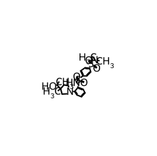 CC(O)C1(C)CCN(c2ccccc2NS(=O)(=O)c2ccc(S(=O)(=O)N(C)C)cc2)CC1